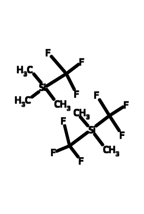 C[Si](C)(C(F)(F)F)C(F)(F)F.C[Si](C)(C)C(F)(F)F